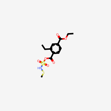 CCOC(=O)c1ccc(C(=O)OS(=O)(=O)NSC)c(CC)c1